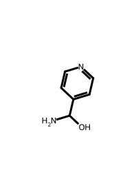 NC(O)c1ccncc1